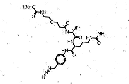 CC(C)[C@H](NC(=O)CCOCCNC(=O)OC(C)(C)C)C(=O)N[C@@H](CCCNC(N)=O)C(=O)Nc1ccc(CN=[N+]=[N-])cc1